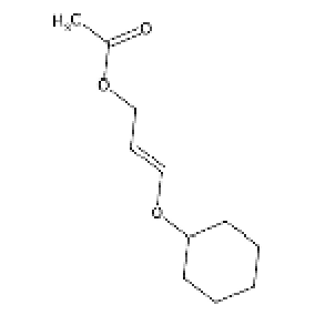 CC(=O)OCC=COC1CCCCC1